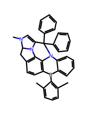 Cc1cccc(C)c1B1c2ccccc2N2c3c1ccc1c3N3C(=CN(C)C3C1)C2(c1ccccc1)c1ccccc1